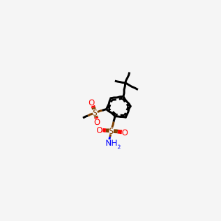 CC(C)(C)c1ccc(S(N)(=O)=O)c(S(C)(=O)=O)c1